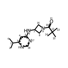 CC(C)c1cc(NC2CN(C(=O)C(C)(C)C)C2)ncn1